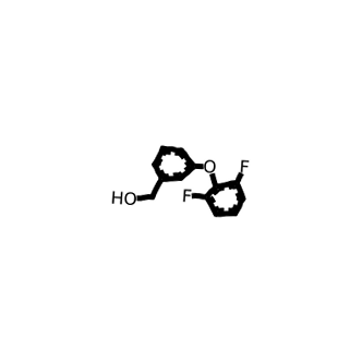 OCc1cccc(Oc2c(F)cccc2F)c1